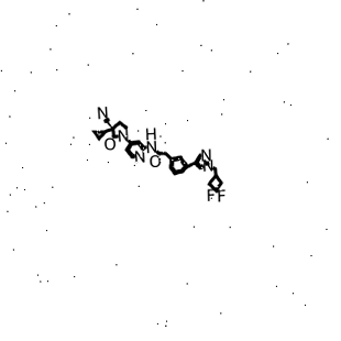 N#C[C@@]1(C2CC2)CCN(c2ccnc(NC(=O)Cc3cccc(-c4cnn(CC5CC(F)(F)C5)c4)c3)c2)C1=O